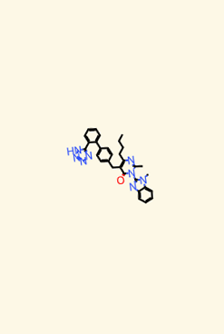 CCCCc1nc(C)n(-c2nc3ccccc3n2C)c(=O)c1Cc1ccc(-c2ccccc2-c2nnn[nH]2)cc1